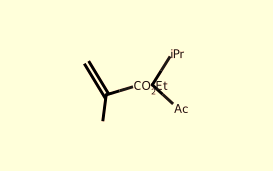 C=C(C)C(=O)OCC.CC(=O)CC(C)C